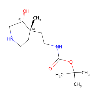 CC(C)(C)OC(=O)NCC[C@]1(C)CCNC[C@@H]1O